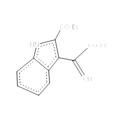 C=C(C(=O)OCC)c1c(C(=O)OCC)[nH]c2ccccc12